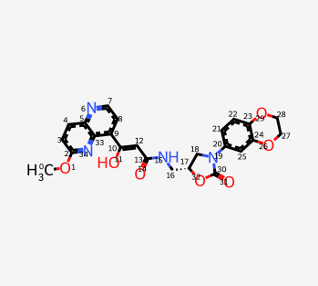 COc1ccc2nccc(C(O)=CC(=O)NC[C@@H]3CN(c4ccc5c(c4)OCCO5)C(=O)O3)c2n1